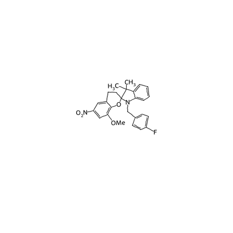 COc1cc([N+](=O)[O-])cc2c1OC1(CC2)N(Cc2ccc(F)cc2)c2ccccc2C1(C)C